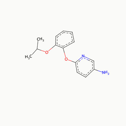 CC(C)Oc1ccccc1Oc1ccc(N)cn1